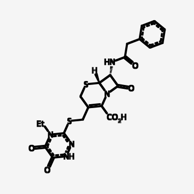 CCn1c(SCC2=C(C(=O)O)N3C(=O)[C@@H](NC(=O)Cc4ccccc4)[C@H]3SC2)n[nH]c(=O)c1=O